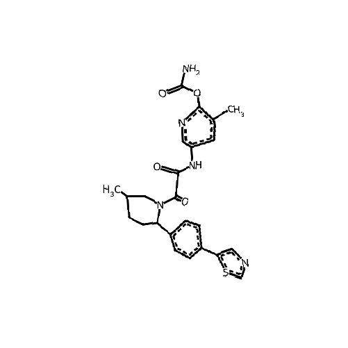 Cc1cc(NC(=O)C(=O)N2CC(C)CCC2c2ccc(-c3cncs3)cc2)cnc1OC(N)=O